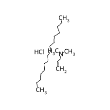 C=CCN(C)C.CCCCCCCCCCCCCCCC.Cl